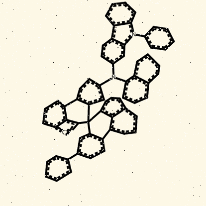 c1ccc(-c2ccc3c(c2)C2(c4cc(N(c5ccc6c7ccccc7n(-c7ccccc7)c6c5)c5cccc6ccccc56)ccc4-c4cccc5cccc2c45)c2cccc4cccc-3c24)cc1